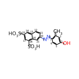 Cc1cc(O)ccc1/N=N/c1ccc2cc(S(=O)(=O)O)cc(S(=O)(=O)O)c2c1